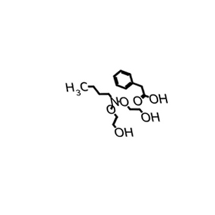 CCCCN(OCCO)OCCO.O=C(O)Cc1ccccc1